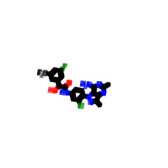 Cc1nc(N)c2c(n1)c(C)nn2-c1ccc(NC(=O)C(O)c2cc(F)cc(C(F)(F)F)c2)cc1Cl